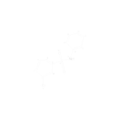 CCc1cccc(S(=O)(=O)Nc2ccccc2)c1